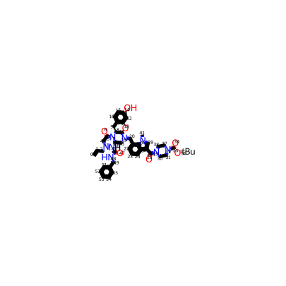 C=CCN1CC(=O)N2[C@@H](Cc3ccc(O)cc3)C(=O)N(Cc3cccc4c(C(=O)N5CCN(C(=O)OC(C)(C)C)CC5)cn(C)c34)C[C@@H]2N1C(=O)NCc1ccccc1